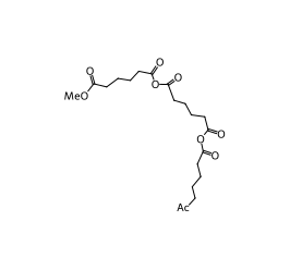 COC(=O)CCCCC(=O)OC(=O)CCCCC(=O)OC(=O)CCCCC(C)=O